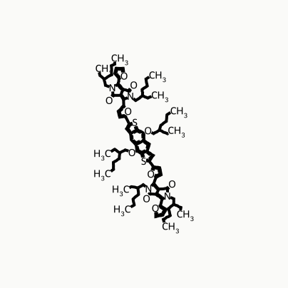 CCCCC(CC)COc1c2cc3cc(-c4ccc(C5=C6C(=O)N(CC(CC)CCCC)C(c7ccco7)=C6C(=O)N5CC(CC)CCCC)o4)sc3c(OCC(CC)CCCC)c2cc2cc(-c3ccc(C4=C5C(=O)N(CC(CC)CCCC)C(c6ccco6)=C5C(=O)N4CC(CC)CCCC)o3)sc12